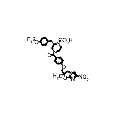 CC1(COc2ccc(C(=O)N3CCN(C(=O)O)[C@H](Cc4ccc(OC(F)(F)F)cc4)C3)cc2)Cn2cc([N+](=O)[O-])nc2O1